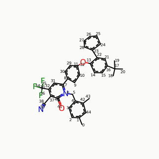 Cc1ccc(Cn2c(-c3ccc(Oc4ccc(C(C)(C)C)cc4-c4ccccc4)cc3)cc(C(F)(F)F)c(C#N)c2=O)c(C)c1